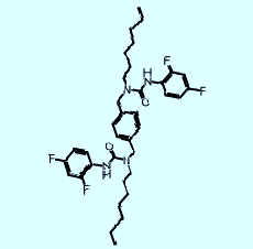 CCCCCCCN(Cc1ccc(CN(CCCCCCC)C(=O)Nc2ccc(F)cc2F)cc1)C(=O)Nc1ccc(F)cc1F